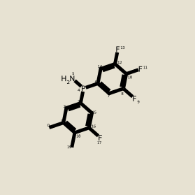 Cc1cc(P(N)c2cc(F)c(F)c(F)c2)cc(F)c1C